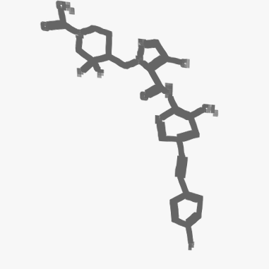 CC(=O)N1CCC(Cn2ncc(Cl)c2C(=O)Nc2ncc(C#Cc3ccc(F)cc3)cc2C)C(F)(F)C1